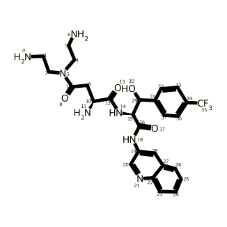 NCCN(CCN)C(=O)C[C@H](N)C(=O)N[C@H](C(=O)Nc1cnc2ccccc2c1)C(O)c1ccc(C(F)(F)F)cc1